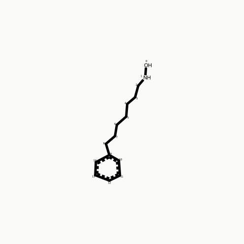 ONCCCCCCCc1ccccc1